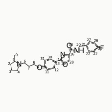 CC1CCCN1CCCOc1ccc(-c2nc(C(=O)NCc3ccc(F)cc3)co2)cc1